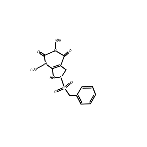 CCCCn1c2c(c(=O)n(CCCC)c1=O)CN(S(=O)(=O)Cc1ccccc1)N2